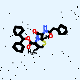 CC1=C(C(=O)OC(c2ccccc2)c2ccccc2)N2C(=O)C(NC(=O)Cc3ccccc3)[C@@H]2SC1